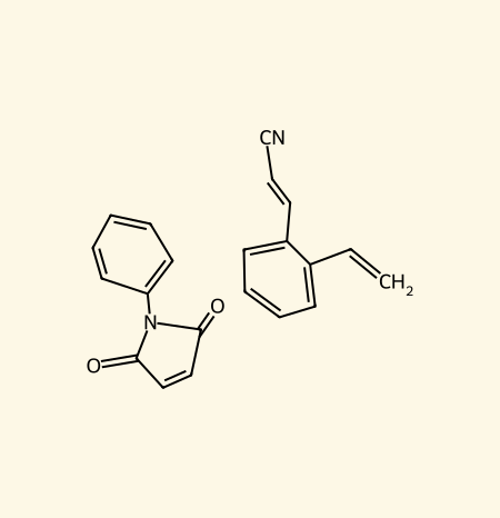 C=Cc1ccccc1C=CC#N.O=C1C=CC(=O)N1c1ccccc1